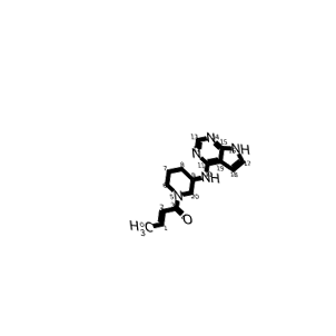 C/C=C/C(=O)N1CCCC(Nc2ncnc3[nH]ccc23)C1